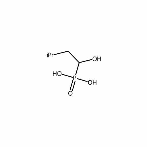 C[C](C)CC(O)P(=O)(O)O